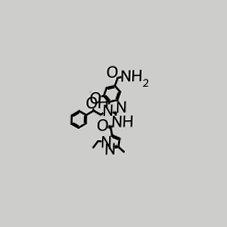 CCn1nc(C)cc1C(=O)Nc1nc2cc(C(N)=O)cc(OC)c2n1CC(O)c1ccccc1